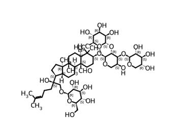 CC(C)=CCC[C@@](O)(CO[C@@H]1O[C@H](CO)[C@@H](O)[C@H](O)[C@H]1O)[C@H]1CC[C@]2(C)[C@@H]1CC[C@@H]1[C@@]3(C=O)CC[C@H](O[C@@H]4OC[C@H](O)[C@H](O[C@@H]5OC[C@@H](O)[C@H](O)[C@H]5O)[C@H]4O[C@@H]4O[C@@H](C)[C@H](O)[C@@H](O)[C@H]4O)C(C)(C)[C@@H]3CC[C@]12C